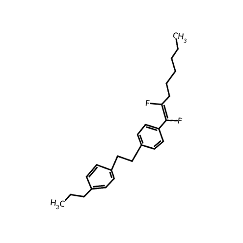 CCCCCC/C(F)=C(\F)c1ccc(CCc2ccc(CCC)cc2)cc1